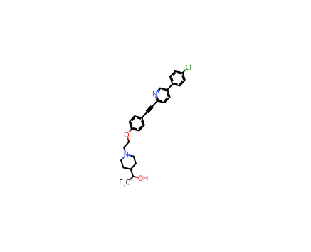 OC(C1CCN(CCOc2ccc(C#Cc3ccc(-c4ccc(Cl)cc4)cn3)cc2)CC1)C(F)(F)F